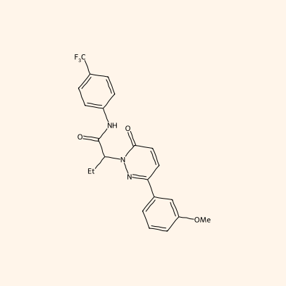 CCC(C(=O)Nc1ccc(C(F)(F)F)cc1)n1nc(-c2cccc(OC)c2)ccc1=O